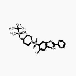 CC(C)(C)[Si](C)(C)OC1CCN(S(=O)(=O)c2cc3nc(-c4ccccc4)[nH]c3cc2Cl)CC1